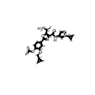 C[C@H](N)c1oc(-c2ccc(OC(F)F)c(OCC3CC3)c2)nc1C(=O)Nc1cnn(C2CC2)c1